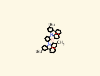 CC1CC=CC2=C1B1C3=CC=CCC3N(c3ccc(C(C)(C)C)cc3-c3ccccc3)c3cccc(c31)N2c1ccc(C(C)(C)C)cc1-c1ccccc1